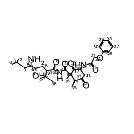 CC(C)C[C@H](N)[C@@H](O)CC(C(=O)NC(=O)[C@]1(C)C(=O)[C@@H](NC(=O)COc2ccccc2)CC(=O)C1C)C(C)C